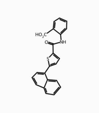 O=C(Nc1ccccc1C(=O)O)c1ccc(-c2cccc3ccccc23)s1